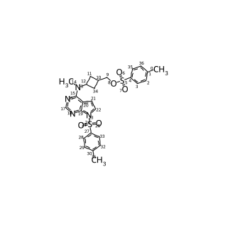 Cc1ccc(S(=O)(=O)OCC2CC(N(C)c3ncnc4c3ccn4S(=O)(=O)c3ccc(C)cc3)C2)cc1